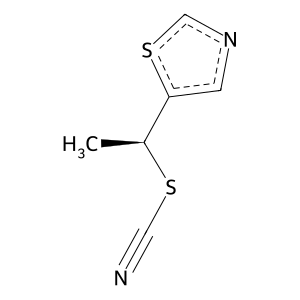 C[C@H](SC#N)c1cncs1